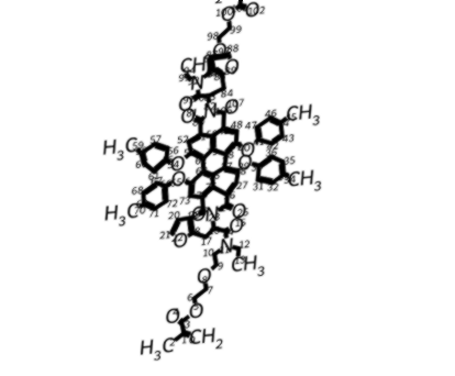 C=C(C)C(=O)OCCOCCN(CC)C(=O)C(Cc1ccco1)N1C(=O)c2cc(Oc3ccc(C)cc3)c3c4c(Oc5ccc(C)cc5)cc5c6c(cc(Oc7ccc(C)cc7)c(c7c(Oc8ccc(C)cc8)cc(c2c37)C1=O)c64)C(=O)N(C(Cc1ccco1)C(=O)N(CC)CCOCCOC(=O)C(=C)C)C5=O